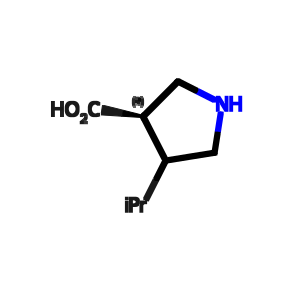 CC(C)C1CNC[C@@H]1C(=O)O